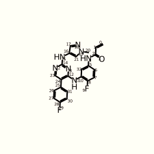 C=CC(=O)Nc1ccc(F)c(Nc2nc(Nc3cnn(C)c3)ncc2-c2ccc(F)cc2)c1